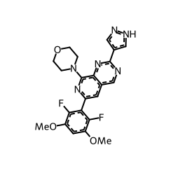 COc1cc(OC)c(F)c(-c2cc3cnc(-c4cn[nH]c4)nc3c(N3CCOCC3)n2)c1F